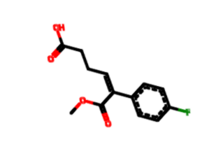 COC(=O)C(=CCCC(=O)O)c1ccc(F)cc1